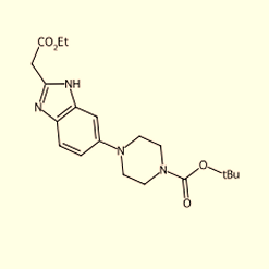 CCOC(=O)Cc1nc2ccc(N3CCN(C(=O)OC(C)(C)C)CC3)cc2[nH]1